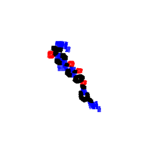 CC(C)(N)C(=O)N1CCN(C(=O)Nc2ccn(-c3ccc(OCCN4CCCC(CN)C4)cc3)c(=O)n2)CC1